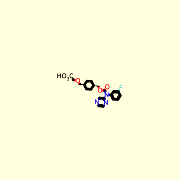 O=C(O)COC[C@H]1CC[C@H](COC(=O)N(c2cccc(F)c2)c2cnccn2)CC1